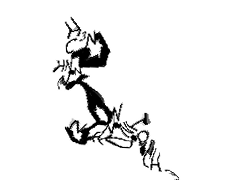 CCOC(=O)Nc1nc2cc(-c3cnc(NC(C)c4ccccn4)nc3)cc(-c3ncccc3F)c2[nH]1